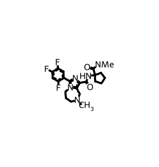 CNC(=O)C1(NC(=O)c2nc(-c3cc(F)c(F)cc3F)n3c2CN(C)CCC3)CCCC1